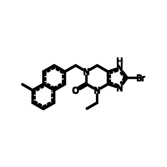 CCN1C(=O)N(Cc2ccc3c(C)cccc3c2)Cc2[nH]c(Br)nc21